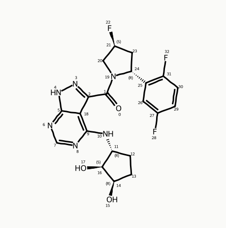 O=C(c1n[nH]c2ncnc(N[C@@H]3CC[C@@H](O)[C@H]3O)c12)N1C[C@@H](F)C[C@@H]1c1cc(F)ccc1F